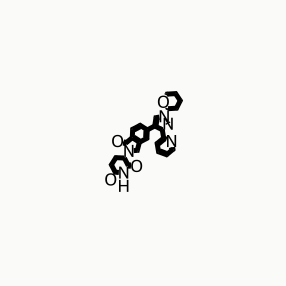 O=C1CCC(N2Cc3cc(-c4cn(C5CCCCO5)nc4-c4ccccn4)ccc3C2=O)C(=O)N1